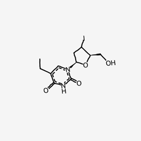 CCc1cn([C@H]2CC(I)[C@@H](CO)O2)c(=O)[nH]c1=O